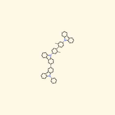 Cc1cc(-n2c3ccccc3c3ccccc32)ccc1-c1ccc(-n2c3ccccc3c3cc(-c4ccc5c(c4)c4ccccc4n5-c4ccccc4)ccc32)cc1C